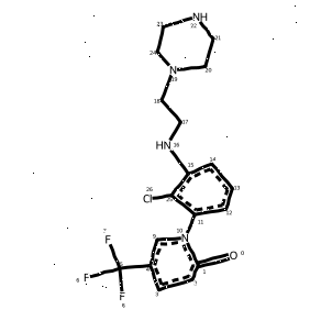 O=c1ccc(C(F)(F)F)cn1-c1cccc(NCCN2CCNCC2)c1Cl